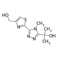 Cn1c(-c2nc(CO)cs2)nnc1C(C)(C)O